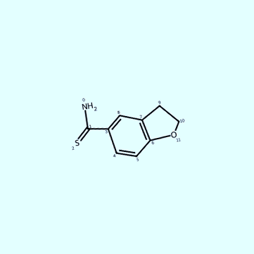 NC(=S)c1ccc2c(c1)CCO2